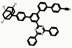 N#Cc1ccc(-c2cccc(-c3cc(-c4ccc(C56C[C@H]7C[C@H](C5)C[C@@H](C6)C7)cc4)cc(-c4nc(-c5ccccc5)nc(-c5ccccc5)n4)c3)c2)cc1